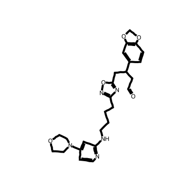 O=CCC(Cc1nc(CCCCNc2cc(N3CCOCC3)ccn2)no1)c1ccc2c(c1)OCO2